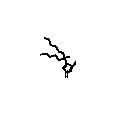 CCCCCCC(C)(CCCCC)c1c[nH]cc1I